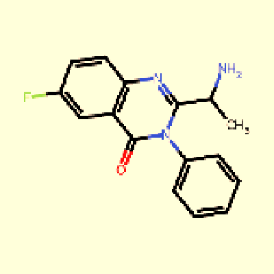 CC(N)c1nc2ccc(F)cc2c(=O)n1-c1ccccc1